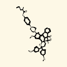 CCCC(C)C(=O)Oc1ccc(N2CCN(c3cc4c5c(c6c(c4cc3OC)OC(c3ccc(OC)cc3)(c3ccc(OC)cc3)C=C6)C(F)(C(F)(F)F)c3ccccc3-5)CC2)cc1